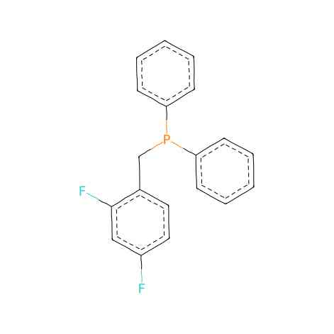 Fc1ccc(CP(c2ccccc2)c2ccccc2)c(F)c1